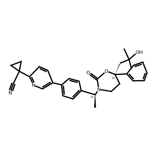 C[C@@H](c1ccc(-c2ccc(C3(C#N)CC3)nc2)cc1)N1CC[C@](CC(C)(C)O)(c2ccccc2)OC1=O